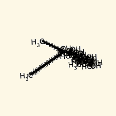 CCCCCCCCCCCCC/C=C/[C@@H](O)[C@H](CO[C@@H]1OC(CO)[C@@H](O[C@@H]2OC(CO)[C@H](O[C@@H]3OC(CO)[C@H](O)[C@H](O[C@@H]4OC(CO)[C@H](O)[C@H](O[C@H]5OC(CO)[C@H](O)[C@H](O)C5O)C4O)C3NC(C)=O)[C@H](O)C2O)[C@H](O)C1O)NC(=O)CCCCCCCCCCCCCCCCCCCCCCCCC